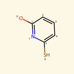 [O]c1cccc(S)n1